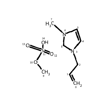 C=CCN1C=CN(C)C1.COS(=O)(=O)O